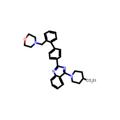 CCOC(=O)C1CCN(c2nc(-c3ccc(-c4ccccc4CN4CCOCC4)cc3)nc3ccccc23)CC1